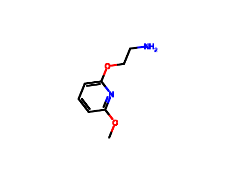 COc1cccc(OCCN)n1